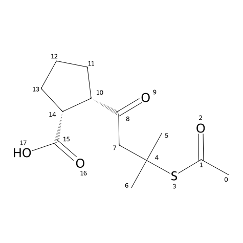 CC(=O)SC(C)(C)CC(=O)[C@H]1CCC[C@H]1C(=O)O